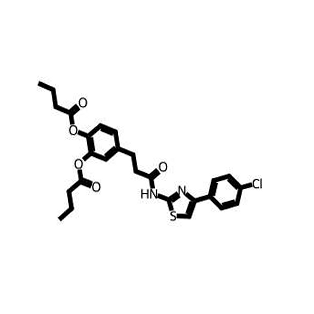 CCCC(=O)Oc1ccc(CCC(=O)Nc2nc(-c3ccc(Cl)cc3)cs2)cc1OC(=O)CCC